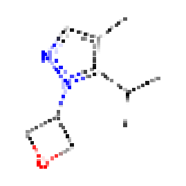 Cc1cnn(C2COC2)c1C(C)C